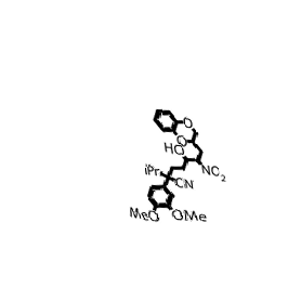 COc1ccc(C(C#N)(CCC(O)C(CC2COc3ccccc3O2)[N+](=O)[O-])C(C)C)cc1OC